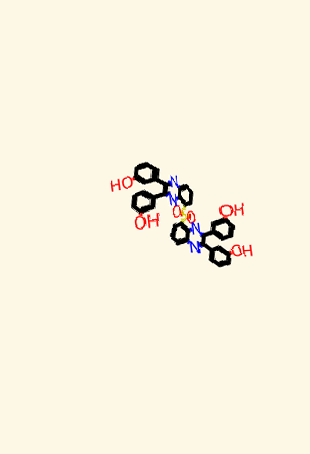 O=S(=O)(c1cccc2nc(-c3cccc(O)c3)c(-c3cccc(O)c3)nc12)c1cccc2nc(-c3cccc(O)c3)c(-c3cccc(O)c3)nc12